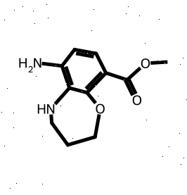 COC(=O)c1ccc(N)c2c1OCCCN2